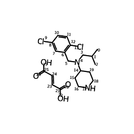 CC(C)CN(Cc1cc(Cl)ccc1Cl)C1CCNCC1.O=C(O)/C=C/C(=O)O